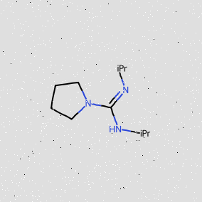 CC(C)/N=C(/NC(C)C)N1CCCC1